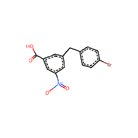 O=C(O)c1cc(Cc2ccc(Br)cc2)cc([N+](=O)[O-])c1